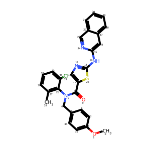 COc1ccc(CN(C(=O)c2cnc(Nc3cc4ccccc4cn3)s2)c2c(C)cccc2Cl)cc1